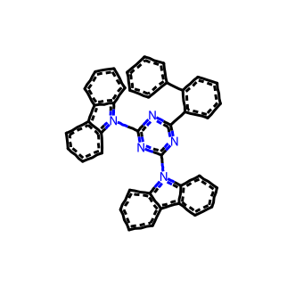 c1ccc(-c2ccccc2-c2nc(-n3c4ccccc4c4ccccc43)nc(-n3c4ccccc4c4ccccc43)n2)cc1